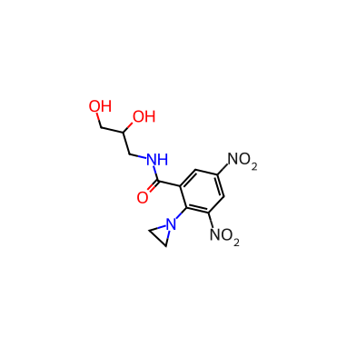 O=C(NCC(O)CO)c1cc([N+](=O)[O-])cc([N+](=O)[O-])c1N1CC1